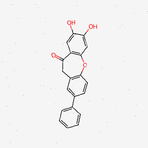 O=C1Cc2cc(-c3ccccc3)ccc2Oc2cc(O)c(O)cc21